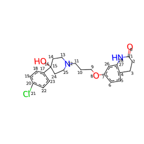 O=C1CCc2ccc(OCCCN3CCC(O)(c4ccc(Cl)cc4)CC3)cc2N1